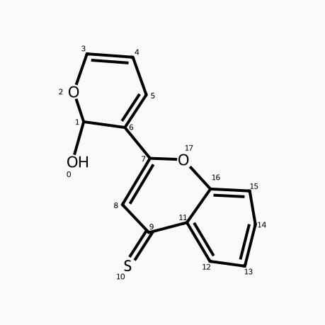 OC1OC=CC=C1c1cc(=S)c2ccccc2o1